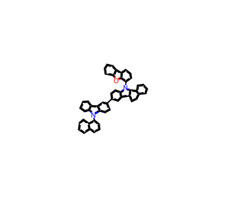 c1ccc2c(-n3c4ccccc4c4cc(-c5ccc6c(c5)c5ccc7ccccc7c5n6-c5cccc6c5oc5ccccc56)ccc43)cccc2c1